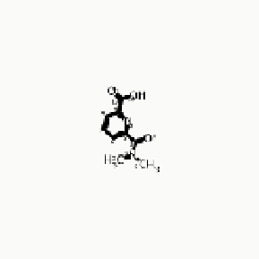 CN(C)C(=O)c1cccc(C(=O)O)n1